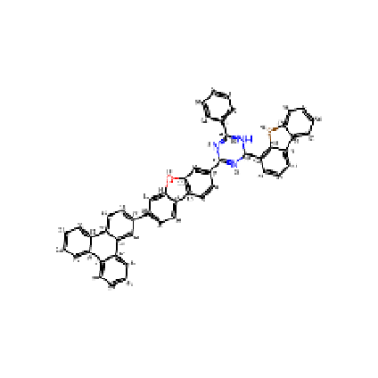 c1ccc(C2=NC(c3ccc4c(c3)oc3cc(-c5ccc6c7ccccc7c7ccccc7c6c5)ccc34)=NC(c3cccc4c3sc3ccccc34)N2)cc1